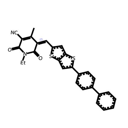 CCN1C(=O)C(C#N)=C(C)/C(=C/c2cc3sc(-c4ccc(-c5ccccc5)cc4)cc3s2)C1=O